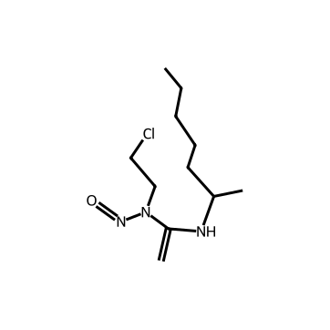 C=C(NC(C)CCCCC)N(CCCl)N=O